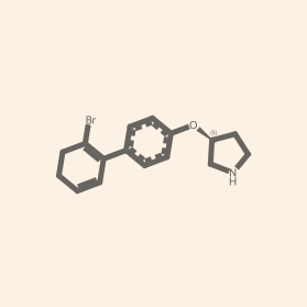 BrC1=C(c2ccc(O[C@H]3CCNC3)cc2)C=CCC1